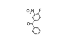 O=C(c1ccccc1)c1ccc(F)c([N+](=O)[O-])c1